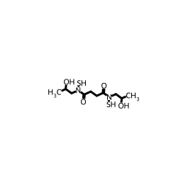 CC(O)CN(S)C(=O)CCC(=O)N(S)CC(C)O